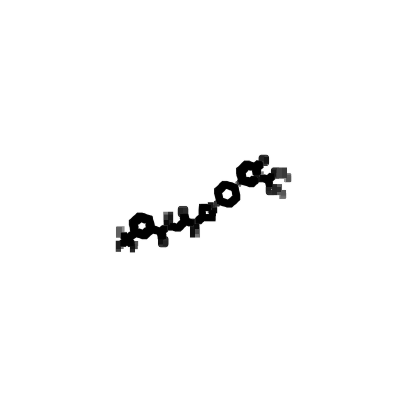 CC(C)n1cc([C@H]2CC[C@@H](N3CC(NC(=O)CNC(=O)c4cccc(C(F)(F)F)c4)C3)CC2)ccc1=O